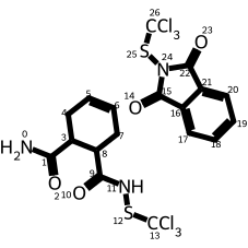 NC(=O)C1CC=CCC1C(=O)NSC(Cl)(Cl)Cl.O=C1c2ccccc2C(=O)N1SC(Cl)(Cl)Cl